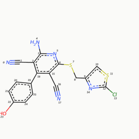 N#Cc1c(N)nc(SCc2csc(Cl)n2)c(C#N)c1-c1ccc(O)cc1